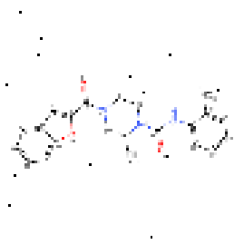 CC1CN(C(=O)c2cc3ccccc3o2)CCN1C(=O)Nc1ccccc1[N+](=O)[O-]